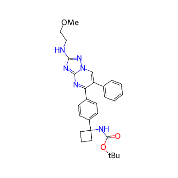 COCCNc1nc2nc(-c3ccc(C4(NC(=O)OC(C)(C)C)CCC4)cc3)c(-c3ccccc3)cn2n1